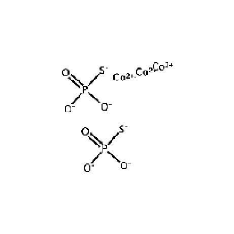 O=P([O-])([O-])[S-].O=P([O-])([O-])[S-].[Co+2].[Co+2].[Co+2]